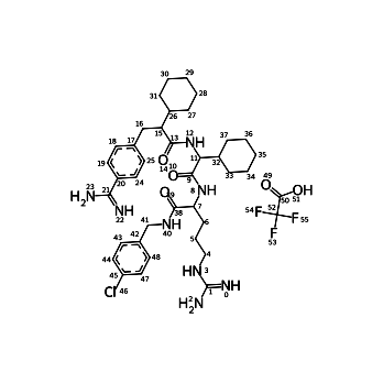 N=C(N)NCCCC(NC(=O)C(NC(=O)C(Cc1ccc(C(=N)N)cc1)C1CCCCC1)C1CCCCC1)C(=O)NCc1ccc(Cl)cc1.O=C(O)C(F)(F)F